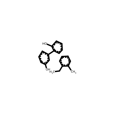 CCc1ccccc1C.Oc1cccc(-c2ccccc2O)c1